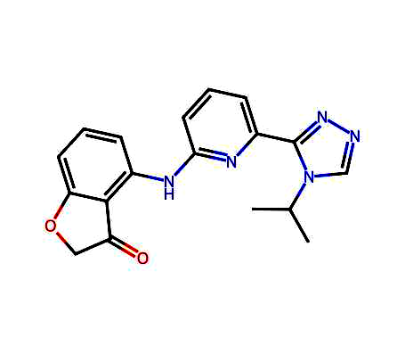 CC(C)n1cnnc1-c1cccc(Nc2cccc3c2C(=O)CO3)n1